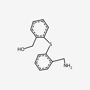 NCc1ccccc1Sc1ccccc1CO